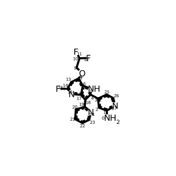 Nc1cc(-c2[nH]c3c(OCC(F)F)cc(F)nc3c2-c2ccccn2)ccn1